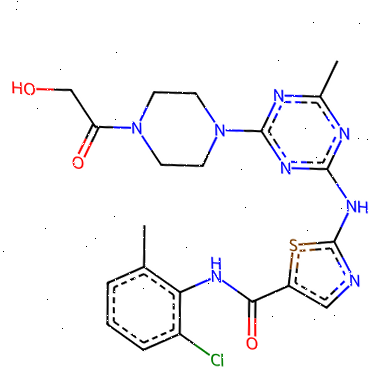 Cc1nc(Nc2ncc(C(=O)Nc3c(C)cccc3Cl)s2)nc(N2CCN(C(=O)CO)CC2)n1